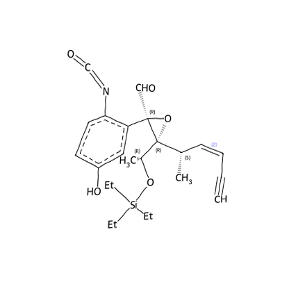 C#C/C=C\[C@H](C)[C@]1([C@@H](C)O[Si](CC)(CC)CC)O[C@]1(C=O)c1cc(O)ccc1N=C=O